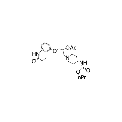 CCCOC(=O)NC1CCN(CC(COc2cccc3c2CCC(=O)N3)OC(C)=O)CC1